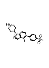 Cc1c(-c2ccc(S(C)(=O)=O)cc2)ccc2c1cnn2C1CCNCC1